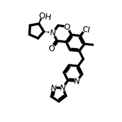 Cc1c(Cc2ccc(-n3cccn3)nc2)cc2c(c1Cl)OCN([C@@H]1CCC[C@H]1O)C2=O